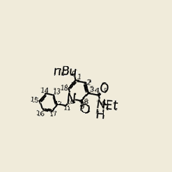 [CH2]CCCc1cc(C(=O)NCC)c(=O)n(Cc2ccccc2)c1